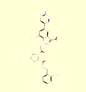 COc1ccccc1CNC(=O)[C@@H]1C[C@H](C)[C@@H](C)N1C(=O)Cn1nc(C(C)=O)c2cc(-c3cnc(C)nc3)cc(C)c21